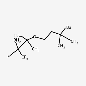 BC(F)(C(F)(F)F)C(C)(C)OCCC(C)(C)C(C)CC